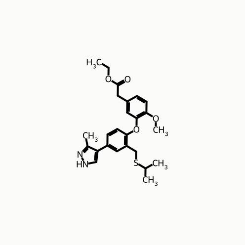 CCOC(=O)Cc1ccc(OC)c(Oc2ccc(-c3c[nH]nc3C)cc2CSC(C)C)c1